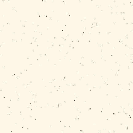 CCC[C@H]1CC[C@H]([C@H]2CC[C@H](CCc3cc(F)c(Cl)c(F)c3)CC2)CC1